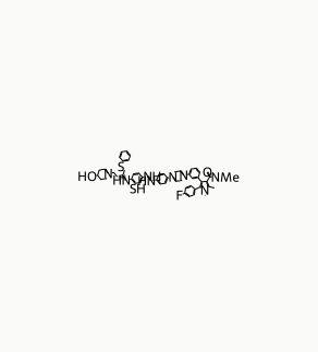 CNC(=O)c1c(-c2cccc(N3CCN(c4ccc(NNc5ccc(N[C@H](CCN6CCC(O)CC6)CSc6ccccc6)c(S)c5)cc4)CC3)c2)c(-c2ccc(F)cc2)n(C)c1C